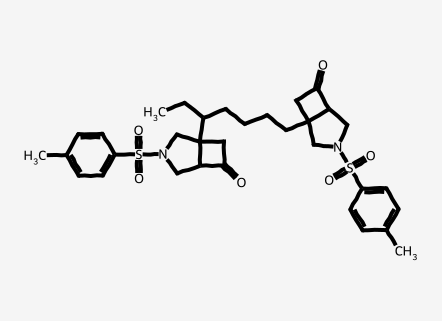 CCC(CCCCC12CC(=O)C1CN(S(=O)(=O)c1ccc(C)cc1)C2)C12CC(=O)C1CN(S(=O)(=O)c1ccc(C)cc1)C2